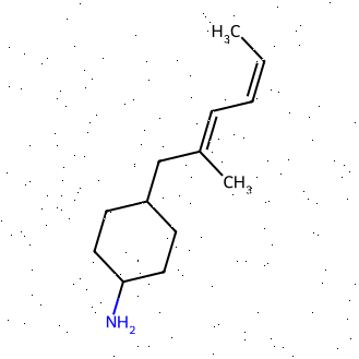 C/C=C\C=C(/C)CC1CCC(N)CC1